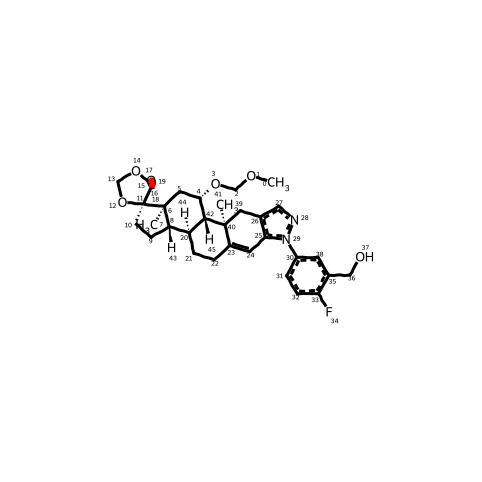 COCO[C@H]1C[C@@]2(C)[C@@H](CC[C@@]23OCOC32COCO2)[C@@H]2CCC3=Cc4c(cnn4-c4ccc(F)c(CO)c4)C[C@]3(C)[C@H]21